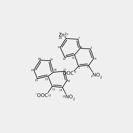 O=C([O-])c1c([N+](=O)[O-])ccc2ccccc12.O=C([O-])c1c([N+](=O)[O-])ccc2ccccc12.[Zn+2]